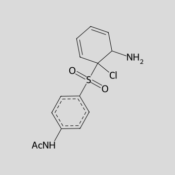 CC(=O)Nc1ccc(S(=O)(=O)C2(Cl)C=CC=CC2N)cc1